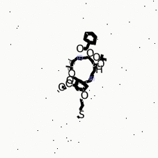 COCOc1cc(OCCCSC)cc2c1C(=O)O[C@@H](C)[C@H](C)/C=C\C(OC(=O)c1ccccc1)C1OC(C)(C)O[C@H]1C/C=C/2